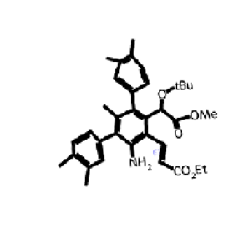 CCOC(=O)/C=C/c1c(N)c(-c2ccc(C)c(C)c2)c(C)c(-c2ccc(C)c(C)c2)c1C(OC(C)(C)C)C(=O)OC